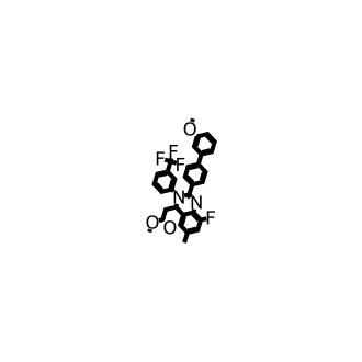 COC(=O)CC1c2cc(C)cc(F)c2N=C(c2ccc(-c3cccc(OC)c3)cc2)N1c1cccc(C(F)(F)F)c1